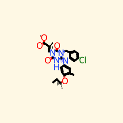 CC[C@@H](C)Oc1ccc(/N=c2\[nH]c(=O)n(C[C@H](C)C(=O)OC)c(=O)n2Cc2ccc(Cl)cc2)cc1C